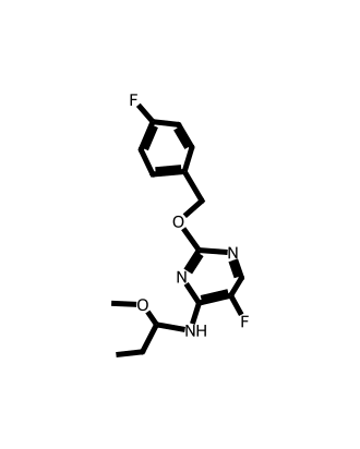 CCC(Nc1nc(OCc2ccc(F)cc2)ncc1F)OC